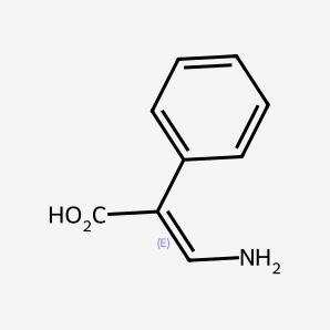 N/C=C(/C(=O)O)c1ccccc1